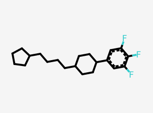 Fc1cc(C2CCC(CCCCC3CCCC3)CC2)cc(F)c1F